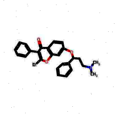 CCc1oc2cc(OC(CCN(C)C)c3ccccc3)ccc2c(=O)c1-c1ccccc1